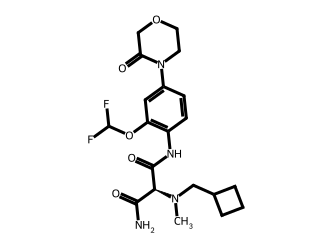 CN(CC1CCC1)[C@@H](C(N)=O)C(=O)Nc1ccc(N2CCOCC2=O)cc1OC(F)F